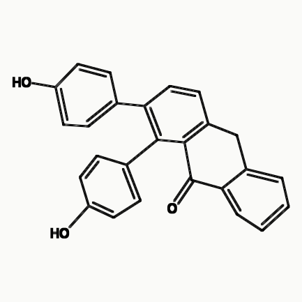 O=C1c2ccccc2Cc2ccc(-c3ccc(O)cc3)c(-c3ccc(O)cc3)c21